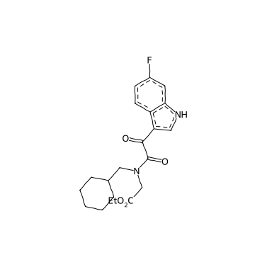 CCOC(=O)CN(CC1CCCCC1)C(=O)C(=O)c1c[nH]c2cc(F)ccc12